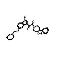 O=C(C(=O)N1CCC(O)(c2ccccc2)CC1)c1c[nH]c2ccc(OCc3ccccc3)cc12